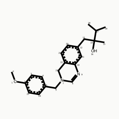 COc1ccc(CN2C=Nc3cc(CC(C)(O)C(C)C)ccc3C2)cc1